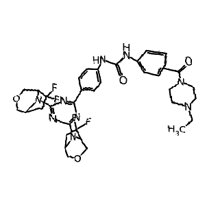 CCN1CCN(C(=O)c2ccc(NC(=O)Nc3ccc(-c4nc(N5C6COCC5C(F)(F)C6)nc(N5C6COCC5C(F)(F)C6)n4)cc3)cc2)CC1